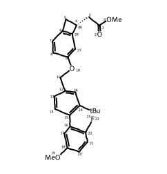 COC(=O)C[C@H]1Cc2ccc(OCc3ccc(-c4cc(OC)ccc4F)c(C(C)(C)C)c3)cc21